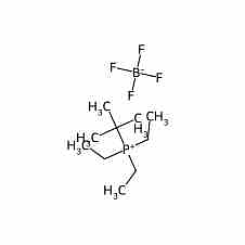 CC[P+](CC)(CC)C(C)(C)C.F[B-](F)(F)F